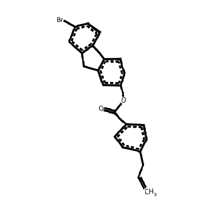 C=CCc1ccc(C(=O)Oc2ccc3c(c2)Cc2cc(Br)ccc2-3)cc1